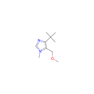 COCc1c(C(C)(C)C)ncn1C